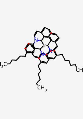 CCCCCCc1ccc(N2C=Cc3ccccc3[CH]2[Ir]([CH]2c3ccccc3C=CN2c2ccc(CCCCCC)cc2)[CH]2c3ccccc3C=CN2c2ccc(CCCCCC)cc2)cc1